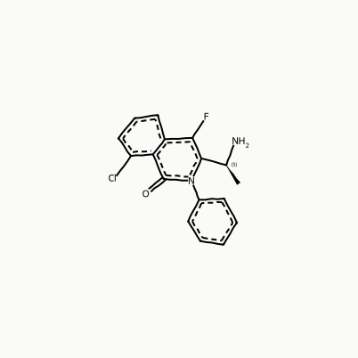 C[C@H](N)c1c(F)c2cccc(Cl)c2c(=O)n1-c1ccccc1